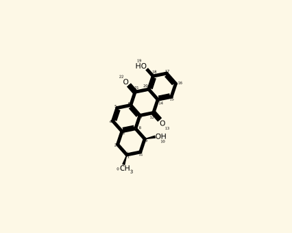 C[C@H]1Cc2ccc3c(c2[C@@H](O)C1)C(=O)c1cccc(O)c1C3=O